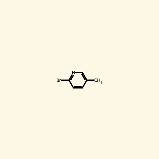 Cc1c[c]c(Br)nc1